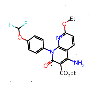 CCOC(=O)c1c(N)c2ccc(OCC)nc2n(-c2ccc(OC(F)F)cc2)c1=O